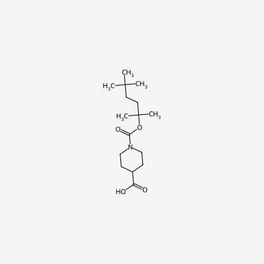 CC(C)(C)CCC(C)(C)OC(=O)N1CCC(C(=O)O)CC1